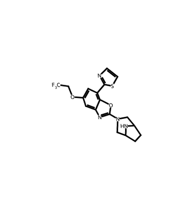 FC(F)(F)COc1cc(-c2nccs2)c2oc(N3CC4CCC(C3)N4)nc2c1